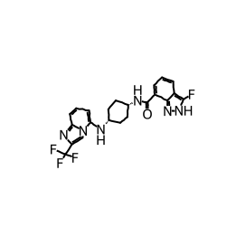 O=C(N[C@H]1CC[C@@H](Nc2cccc3nc(C(F)(F)F)cn23)CC1)c1cccc2c(F)[nH]nc12